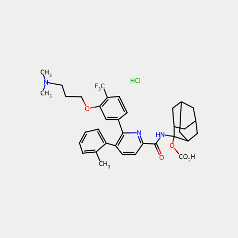 Cc1ccccc1-c1ccc(C(=O)NC2(OC(=O)O)C3CC4CC(C3)CC2C4)nc1-c1ccc(C(F)(F)F)c(OCCCN(C)C)c1.Cl